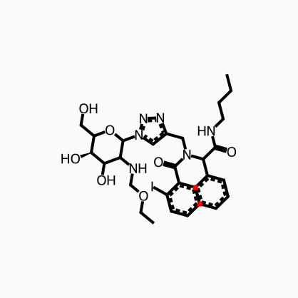 CCCCNC(=O)C(c1ccccc1)N(Cc1cn(C2OC(CO)[C@H](O)C(O)C2NCOCC)nn1)C(=O)c1ccccc1I